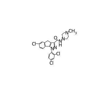 CN1CCN(NC(=O)c2nn(-c3ccc(Cl)cc3Cl)c3c2Cc2cc(Cl)ccc2-3)CC1